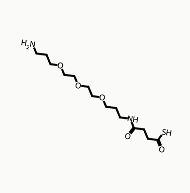 NCCCOCCOCCOCCCNC(=O)CCC(=O)S